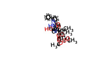 COC(=O)CC1(CC(=O)OC)OB([C@H](CC(C)C)NC(=O)[C@@H](NC(=O)c2cccc(-c3ccccc3)n2)[C@@H](C)O)OC1=O